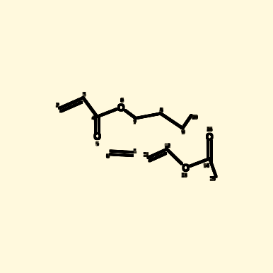 C=C.C=CC(=O)OCCCC.C=COC(C)=O